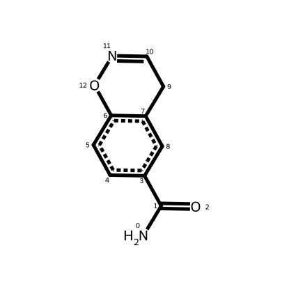 NC(=O)c1ccc2c(c1)CC=NO2